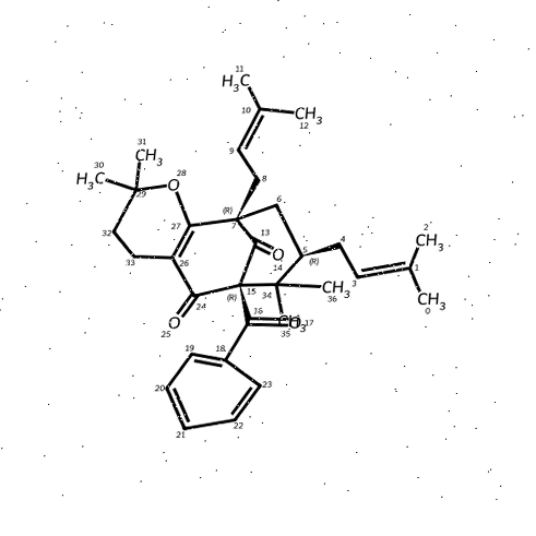 CC(C)=CC[C@@H]1C[C@]2(CC=C(C)C)C(=O)[C@@](C(=O)c3ccccc3)(C(=O)C3=C2OC(C)(C)CC3)C1(C)C